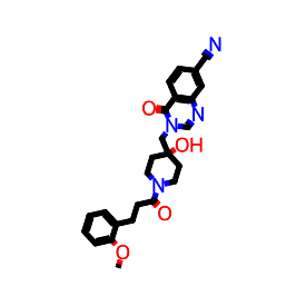 COc1ccccc1CCC(=O)N1CCC(O)(Cn2cnc3cc(C#N)ccc3c2=O)CC1